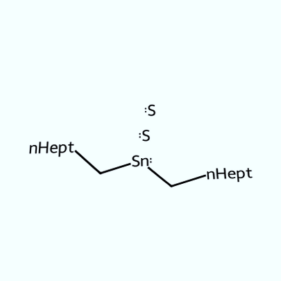 CCCCCCC[CH2][Sn][CH2]CCCCCCC.[S].[S]